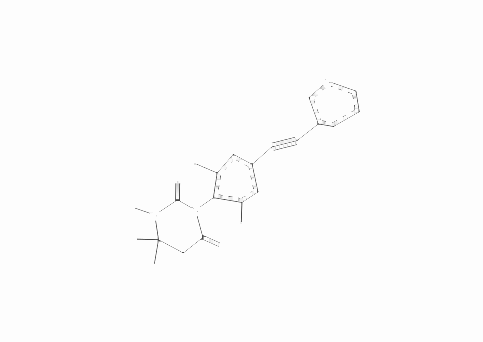 CCN1C(=O)N(c2c(F)cc(C#Cc3cccnc3)cc2Cl)C(=O)CC1(C)C